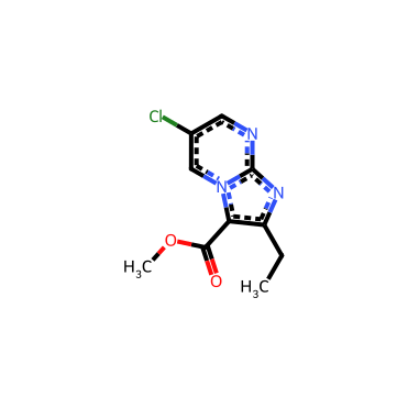 CCc1nc2ncc(Cl)cn2c1C(=O)OC